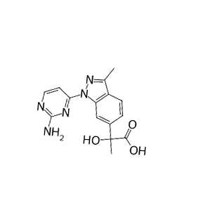 Cc1nn(-c2ccnc(N)n2)c2cc(C(C)(O)C(=O)O)ccc12